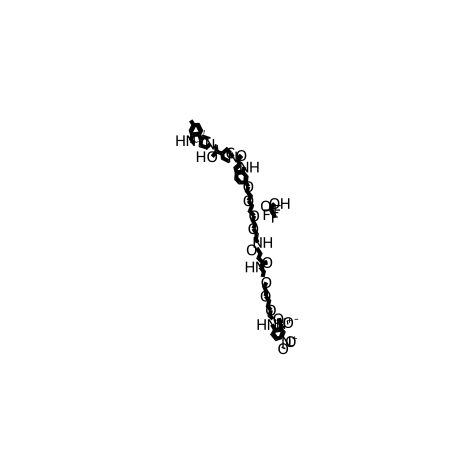 Cc1ccc2c(c1)NC[C@]21CCN(CC(O)C2CCN(C(=O)c3cc4ccc(OCCOCCOCCOCCNC(=O)CCC(=O)NCCOCCOCCOCCNc5ccc([N+](=O)[O-])cc5[N+](=O)[O-])cc4[nH]3)CC2)C[C@H]1C.O=C(O)C(F)(F)F